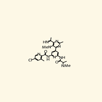 CNc1c(C(C)=N)nc(C)nc1-c1cc(NC(=O)c2ncc(Cl)cc2C)nc(NC(=O)C(C)NC)c1